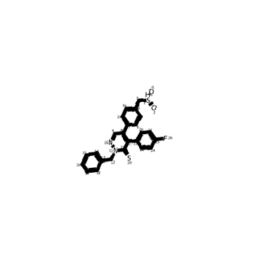 O=[SH](=O)Cc1ccc(-c2cnn(Cc3ccccc3)c(=S)c2-c2ccc(F)cc2)cc1